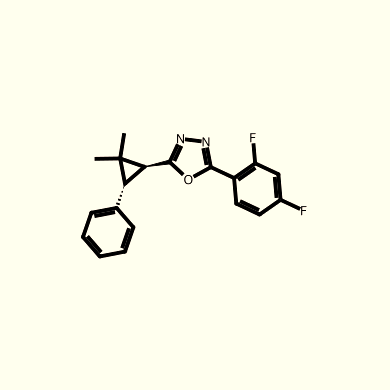 CC1(C)[C@@H](c2ccccc2)[C@@H]1c1nnc(-c2ccc(F)cc2F)o1